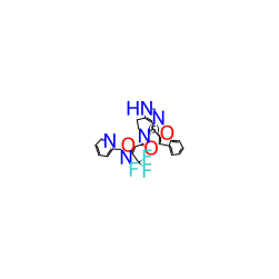 O=C(c1oc(-c2ccccn2)nc1C(F)(F)F)N1CCc2[nH]cnc2[C@H]1c1cc2ccccc2o1